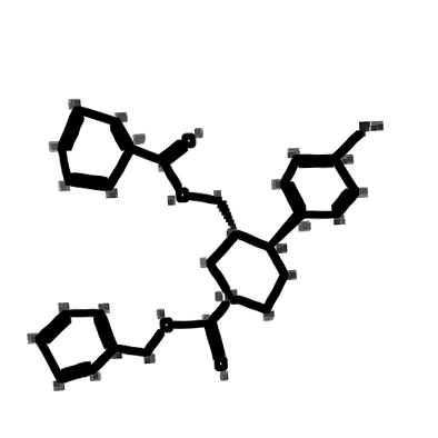 O=C(OC[C@H]1CN(C(=O)OCc2ccccc2)CC[C@@H]1c1ccc(F)cc1)c1ccccc1